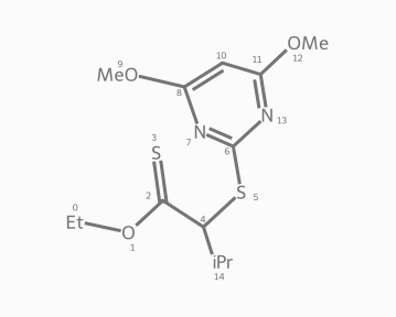 CCOC(=S)C(Sc1nc(OC)cc(OC)n1)C(C)C